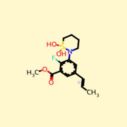 C/C=C/c1cc(C(=O)OC)c(F)c(N2CCCCS2(O)O)c1